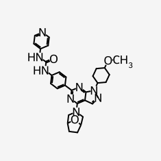 COC1CCC(n2ncc3c(N4CC5CCC(C4)O5)nc(-c4ccc(NC(=O)Nc5ccncc5)cc4)nc32)CC1